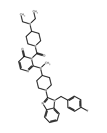 CCN(CC)C1CCN(C(=O)n2c(N(C)C3CCN(c4nc5ccccc5n4Cc4ccc(F)cc4)CC3)nccc2=O)CC1